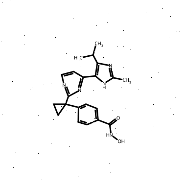 Cc1nc(C(C)C)c(-c2ccnc(C3(c4ccc(C(=O)NO)cc4)CC3)n2)[nH]1